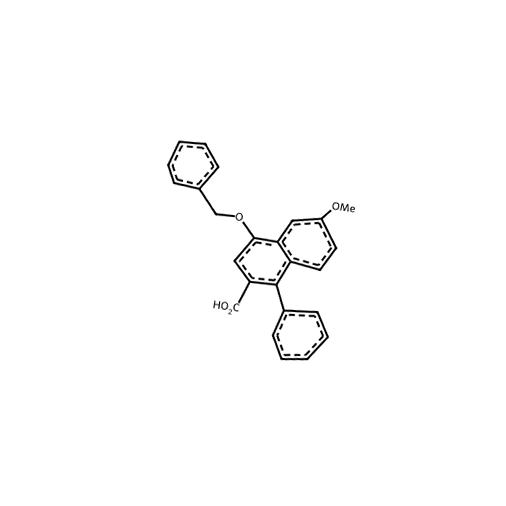 COc1ccc2c(-c3ccccc3)c(C(=O)O)cc(OCc3ccccc3)c2c1